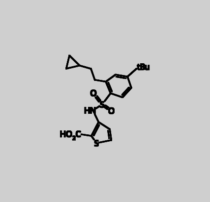 CC(C)(C)c1ccc(S(=O)(=O)Nc2ccsc2C(=O)O)c(CCC2CC2)c1